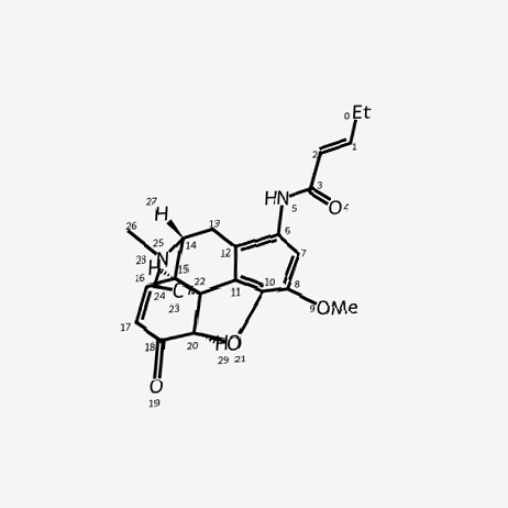 CCC=CC(=O)Nc1cc(OC)c2c3c1C[C@@H]1[C@@H]4C=CC(=O)[C@H](O2)[C@]34CCN1C